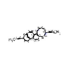 CC#CC1=CCC2=C=C(C=Cc3c2ccc2c3/C=C\CS/C(C#CC)=C\C2)S1